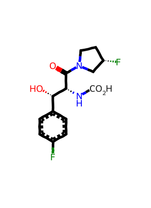 O=C(O)N[C@@H](C(=O)N1CC[C@H](F)C1)[C@@H](O)c1ccc(F)cc1